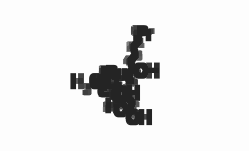 CC(C)CCCC[C@H](O)/C=C/[C@@H]1[C@H]2CC(O)O[C@H]2C[C@H]1O[Si](C)(C)C(C)(C)C